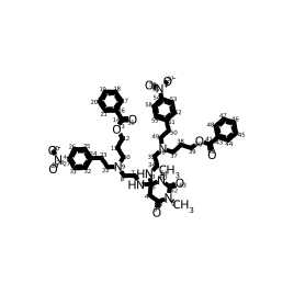 CN1C(=O)CC(NCCN(CCCOC(=O)c2ccccc2)CCc2ccc([N+](=O)[O-])cc2)(NCCN(CCCOC(=O)c2ccccc2)CCc2ccc([N+](=O)[O-])cc2)N(C)C1=O